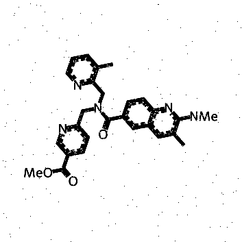 CNc1nc2ccc(C(=O)N(Cc3ccc(C(=O)OC)cn3)Cc3ncccc3C)cc2cc1C